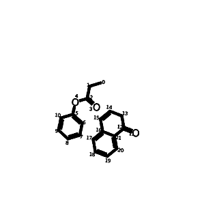 CCC(=O)Oc1ccccc1.O=C1CC=Cc2ccccc21